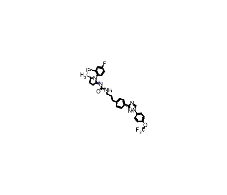 CC(C)c1cc(F)ccc1N1/C(=N/C(=O)NCCCc2ccc(-c3ncn(-c4ccc(OC(F)(F)F)cc4)n3)cc2)CCC1C